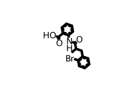 CC(Cc1ccccc1Br)C(=O)Nc1ccccc1C(=O)O